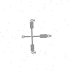 C#C[Si](Cl)(C#C)C#C